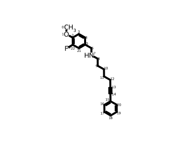 COc1ccc(CNCCCCCC#Cc2ccccc2)cc1F